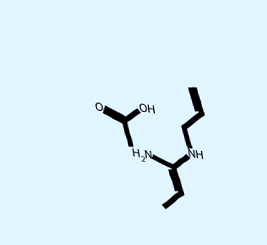 C=CCNC(N)=CC.CC(=O)O